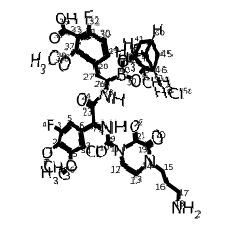 COc1c(F)cc(C(NC(=O)N2CCN(CCCN)C(=O)C2=O)C(=O)N[C@@H](Cc2ccc(F)c(C(=O)O)c2OC)B2O[C@@H]3C[C@@H]4C[C@@H](C4(C)C)[C@]3(C)O2)c(Cl)c1OC.Cl